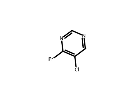 CC(C)c1ncn[c]c1Cl